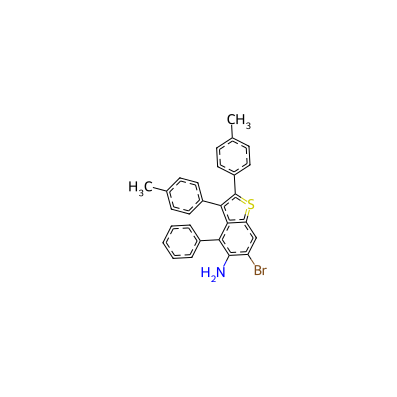 Cc1ccc(-c2sc3cc(Br)c(N)c(-c4ccccc4)c3c2-c2ccc(C)cc2)cc1